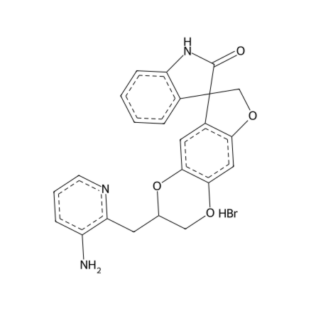 Br.Nc1cccnc1CC1COc2cc3c(cc2O1)C1(CO3)C(=O)Nc2ccccc21